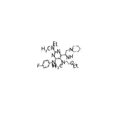 CCOCCN(C)c1c(Nc2ccc(F)cc2)nc(N(C)CC)nc1C(=N)CN1CCCCC1